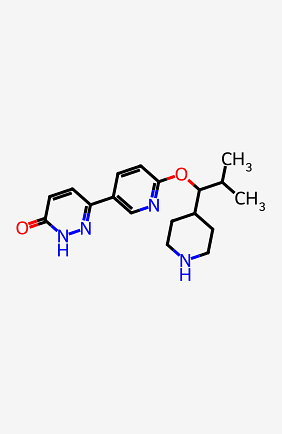 CC(C)C(Oc1ccc(-c2ccc(=O)[nH]n2)cn1)C1CCNCC1